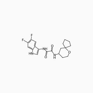 O=C(Nc1c[nH]c2cc(F)c(F)cc12)C(=O)NC1CCOC2(CCCC2)C1